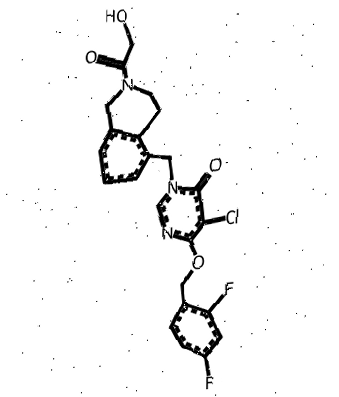 O=C(CO)N1CCc2c(cccc2Cn2cnc(OCc3ccc(F)cc3F)c(Cl)c2=O)C1